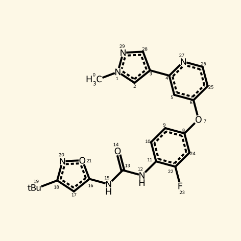 Cn1cc(-c2cc(Oc3ccc(NC(=O)Nc4cc(C(C)(C)C)no4)c(F)c3)ccn2)cn1